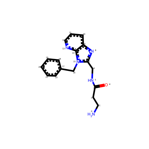 NCCC(=O)NCc1nc2cccnc2n1Cc1ccccc1